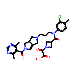 Cc1ccc(N(CCCN2CC3=CN(C(=O)c4c(C)ncnc4C)CC3C2)C(=O)C2CN(C(=O)C(=O)O)C2)cc1Cl